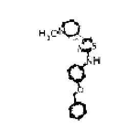 CN1CCC[C@H](c2csc(Nc3cccc(OCc4ccccc4)c3)n2)C1